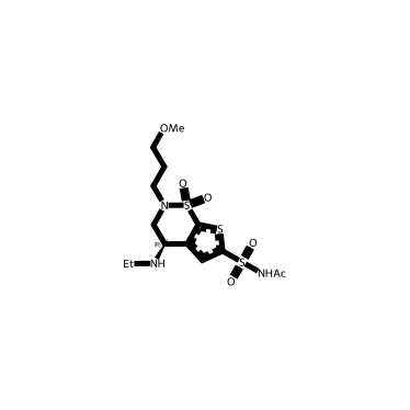 CCN[C@H]1CN(CCCOC)S(=O)(=O)c2sc(S(=O)(=O)NC(C)=O)cc21